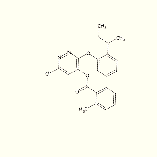 CCC(C)c1ccccc1Oc1nnc(Cl)cc1OC(=O)c1ccccc1C